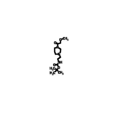 COCC(=O)N1CCCN(CCNC(=O)OC(C)(C)C)CC1